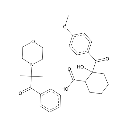 CC(C)(C(=O)c1ccccc1)N1CCOCC1.COc1ccc(C(=O)C2(O)CCCCC2C(=O)O)cc1